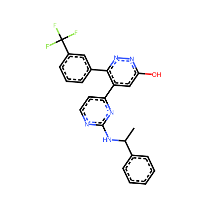 CC(Nc1nccc(-c2cc(O)nnc2-c2cccc(C(F)(F)F)c2)n1)c1ccccc1